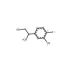 N#Cc1cc(C(N)CO)ccc1F